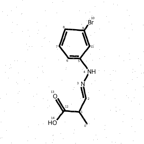 CC(C=NNc1cccc(Br)c1)C(=O)O